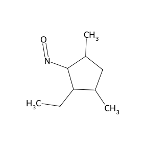 CCC1C(C)CC(C)C1N=O